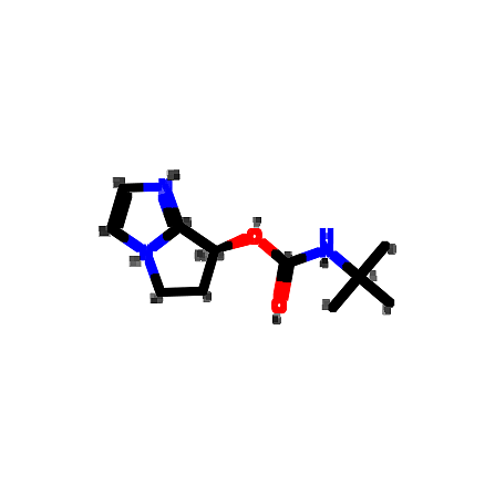 CC(C)(C)NC(=O)O[C@H]1CCn2ccnc21